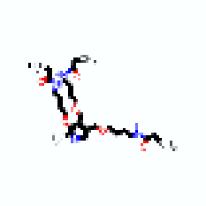 C=CC(=O)NCCCCOCc1cnc(C)c(OCCCCNC(=O)C=C)c1COCCCCNC(=O)C=C